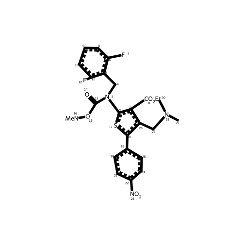 CCOC(=O)c1c(N(Cc2c(F)cccc2F)C(=O)ONC)sc(-c2ccc([N+](=O)[O-])cc2)c1CN(C)C